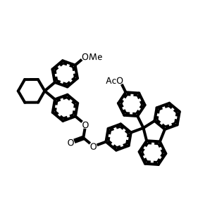 COc1ccc(C2(c3ccc(OC(=O)Oc4ccc(C5(c6ccc(OC(C)=O)cc6)c6ccccc6-c6ccccc65)cc4)cc3)CCCCC2)cc1